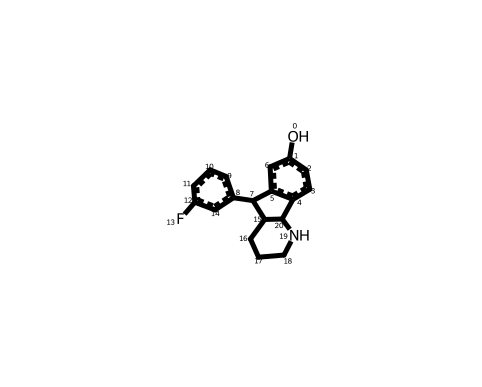 Oc1ccc2c(c1)C(c1cccc(F)c1)C1CCCNC21